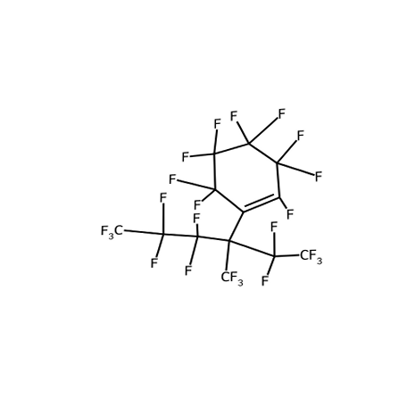 FC1=C(C(C(F)(F)F)(C(F)(F)C(F)(F)F)C(F)(F)C(F)(F)C(F)(F)F)C(F)(F)C(F)(F)C(F)(F)C1(F)F